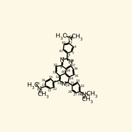 CN(C)c1ccc(-c2nc3ccc4c(-c5ccc(N(C)C)cc5)nc(-c5ccc(N(C)C)cc5)c5ccc(n2)c3c45)cc1